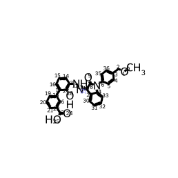 COCc1ccc(N2C(=O)/C(=N\Nc3cccc(-c4cccc(C(=O)O)c4)c3O)c3ccccc32)cc1